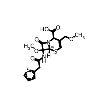 COCC1=CS[C@H]2N(C(=O)C2(NC(=O)Cc2cccs2)OC)C1C(=O)O